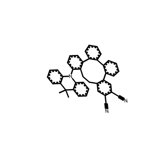 CC1(C)c2ccccc2N(c2cccc3c2CCc2cc(C#N)c(C#N)cc2-c2ccccc2-c2ccccc2-3)c2ccccc21